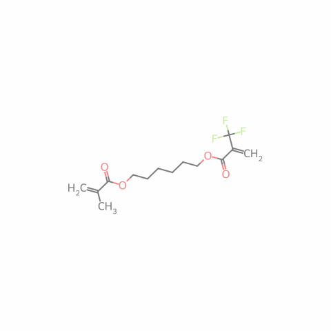 C=C(C)C(=O)OCCCCCCOC(=O)C(=C)C(F)(F)F